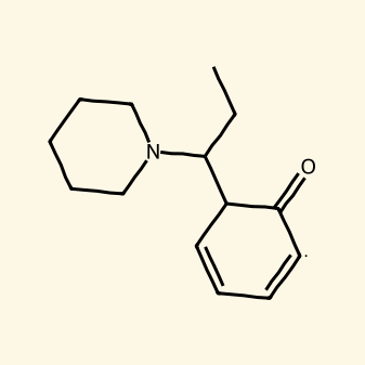 CCC(C1C=CC=[C]C1=O)N1CCCCC1